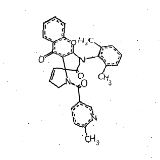 Cc1ccc(C(=O)N2CC=CC23C(=O)N(c2c(C)cccc2C)c2oc4ccccc4c(=O)c23)cn1